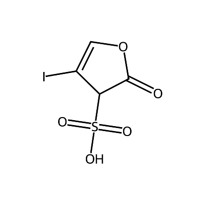 O=C1OC=C(I)C1S(=O)(=O)O